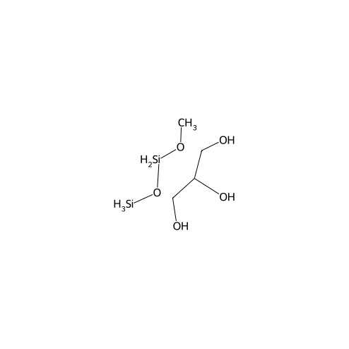 CO[SiH2]O[SiH3].OCC(O)CO